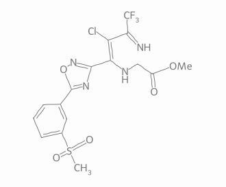 COC(=O)CN/C(=C(/Cl)C(=N)C(F)(F)F)c1noc(-c2cccc(S(C)(=O)=O)c2)n1